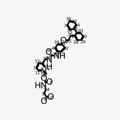 O=C([O-])CCNC(=O)OC[n+]1cccc(CNC(=O)Nc2ccc(OCCc3ccccc3-c3ccccc3)cc2)c1